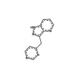 c1cnc2c(Cc3ccncn3)n[nH]c2c1